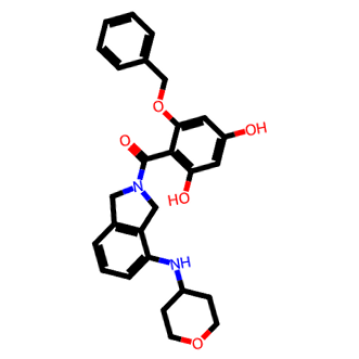 O=C(c1c(O)cc(O)cc1OCc1ccccc1)N1Cc2cccc(NC3CCOCC3)c2C1